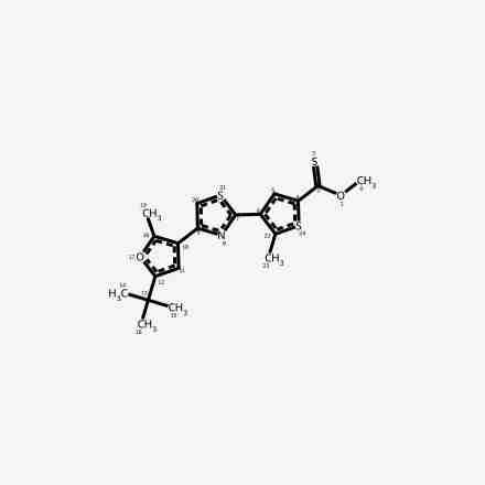 COC(=S)c1cc(-c2nc(-c3cc(C(C)(C)C)oc3C)cs2)c(C)s1